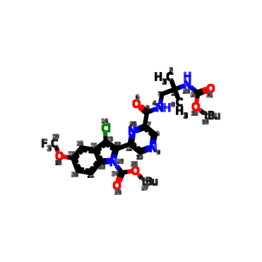 CC(C)(CNC(=O)c1cncc(-c2c(Cl)c3cc(OC(F)(F)F)ccc3n2C(=O)OC(C)(C)C)n1)NC(=O)OC(C)(C)C